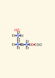 CC[N+](CC)(CC)CC.CC[N+](CC)(CC)CC.CC[N+](CC)(CC)CC.O=C([O-])[O-].[OH-]